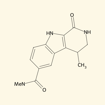 CNC(=O)c1ccc2[nH]c3c(c2c1)C(C)CNC3=O